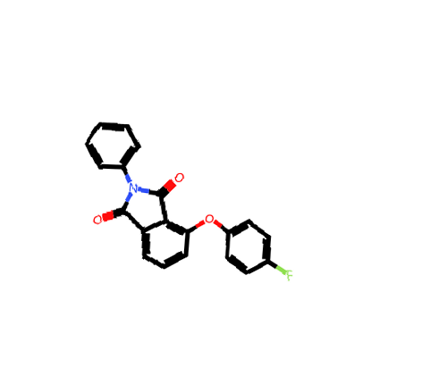 O=C1c2cccc(Oc3ccc(F)cc3)c2C(=O)N1c1ccccc1